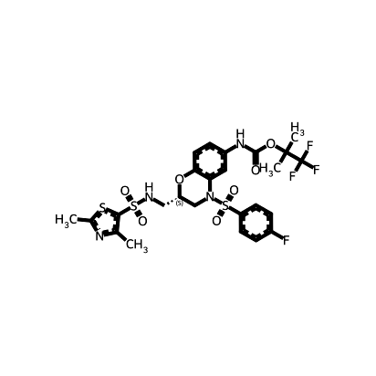 Cc1nc(C)c(S(=O)(=O)NC[C@H]2CN(S(=O)(=O)c3ccc(F)cc3)c3cc(NC(=O)OC(C)(C)C(F)(F)F)ccc3O2)s1